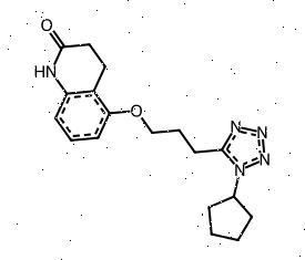 O=C1CCc2c(cccc2OCCCc2nnnn2C2CCCC2)N1